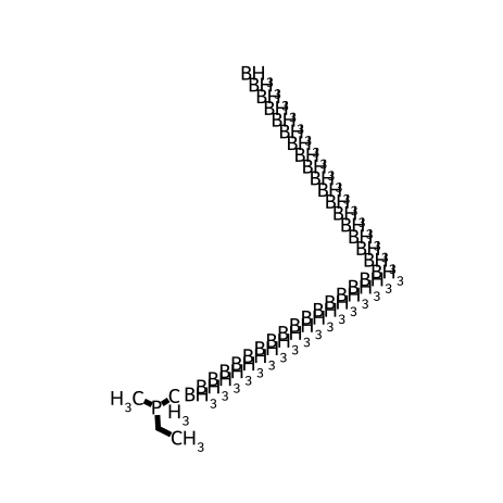 B.B.B.B.B.B.B.B.B.B.B.B.B.B.B.B.B.B.B.B.B.B.B.B.B.B.B.B.B.B.B.B.B.B.CCP(C)C